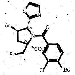 CC(=O)[C@@H]1C[C@@](CC(C)C)(C(=O)O)N(C(=O)c2ccc(C(C)(C)C)c(Cl)c2)[C@H]1c1nccs1